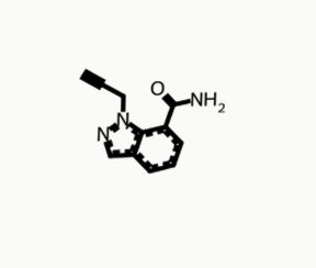 C#CCn1ncc2cccc(C(N)=O)c21